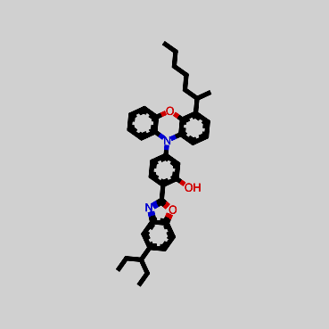 CCCCCC(C)c1cccc2c1Oc1ccccc1N2c1ccc(-c2nc3cc(C(CC)CC)ccc3o2)c(O)c1